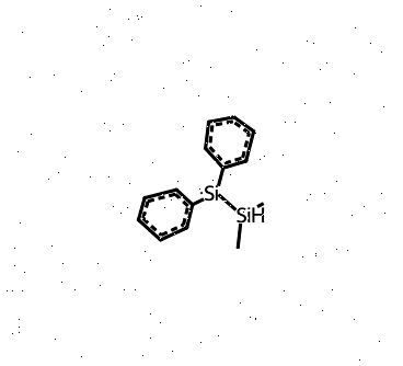 C[SiH](C)[Si](c1ccccc1)c1ccccc1